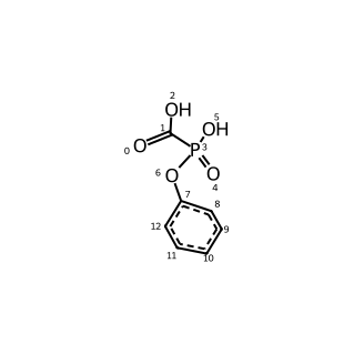 O=C(O)P(=O)(O)Oc1ccccc1